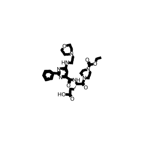 CCOC(=O)N1CCN(C(=O)[C@H](CCC(=O)O)NC(=O)c2cc(NCCN3CCOCC3)nc(-c3ccccc3)n2)CC1